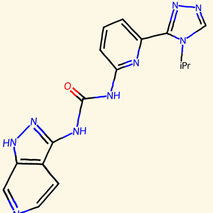 CC(C)n1cnnc1-c1cccc(NC(=O)Nc2n[nH]c3cnccc23)n1